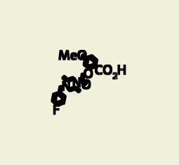 COc1ccc(C(=O)O)c(OCC(=O)N2CC(C)N(Cc3ccc(F)cc3)CC2C)c1